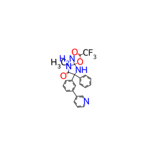 CN1C(=O)C(c2ccccc2)(c2cccc(-c3cccnc3)c2)NC1(N)OC(=O)C(F)(F)F